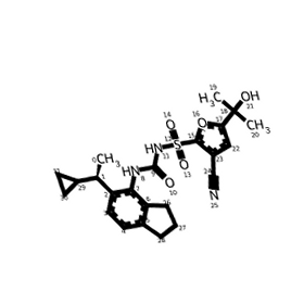 C[C@@H](c1ccc2c(c1NC(=O)NS(=O)(=O)c1oc(C(C)(C)O)cc1C#N)CCC2)C1CC1